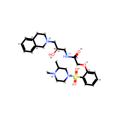 CC1CN(S(=O)(=O)c2ccccc2OCC(=O)NC[C@@H](O)CN2CCc3ccccc3C2)CCN1C